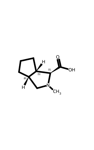 CN1C[C@@H]2CCC[C@@H]2[C@H]1C(=O)O